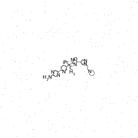 CC(C)[C@](C)(c1ccc(-c2cnc(N)cn2)nc1)c1noc(-c2cnn(CCN3CCCC3)c2)n1